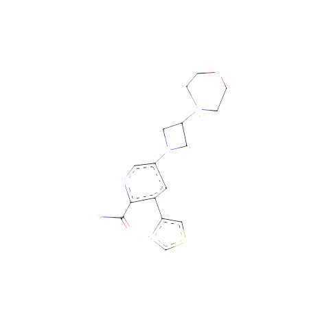 NC(=O)c1ncc(N2CC(N3CCOCC3)C2)cc1-c1cscn1